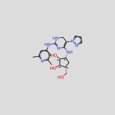 Cc1cc(NC2=NC(N[C@@H]3C[C@H](CO)[C@@H](O)[C@H]3O)=C(n3cccn3)CN2)cc(C)n1